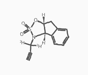 [2H]C([2H])(C#C)N1[C@H]2c3ccccc3C[C@H]2OS1(=O)=O